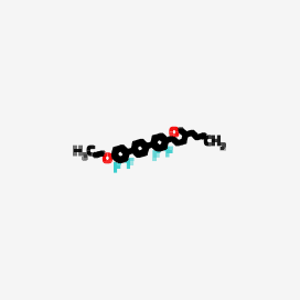 C=CCCC1CCC(c2ccc(-c3ccc(-c4ccc(OCCC)c(F)c4F)cc3)c(F)c2F)OC1